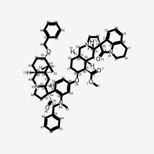 COC(=O)[C@@H]1[C@H]2C[C@@H]3N(CC[C@@]34C(=O)N3CCCc5cccc4c53)C[C@@H]2CC[C@@H]1Oc1ccc([C@@]2(C=O)CCN3C[C@@H]4CC[C@H](OCc5ccccc5)[C@]5(C)C[C@]45C[C@H]32)c(N(C)Cc2ccccc2)c1